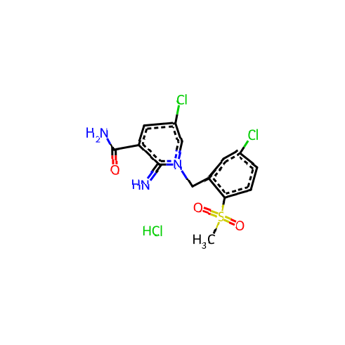 CS(=O)(=O)c1ccc(Cl)cc1Cn1cc(Cl)cc(C(N)=O)c1=N.Cl